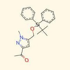 CC(=O)c1cc(CO[Si](c2ccccc2)(c2ccccc2)C(C)(C)C)n(C)n1